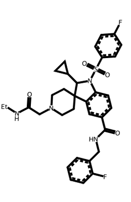 CCNC(=O)CN1CCC2(CC1)c1cc(C(=O)NCc3ccccc3F)ccc1N(S(=O)(=O)c1ccc(F)cc1)C2C1CC1